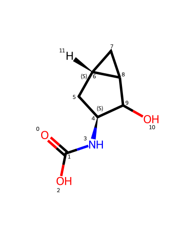 O=C(O)N[C@H]1C[C@@H]2CC2C1O